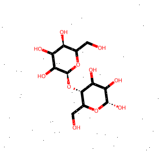 OCC1O[C@@H](O[C@H]2C(CO)O[C@@H](O)C(O)C2O)C(O)C(O)[C@H]1O